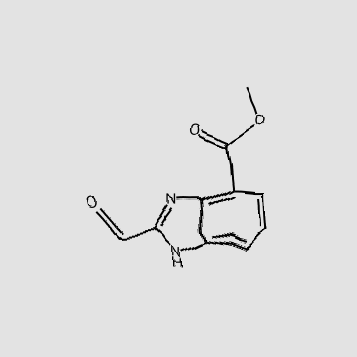 COC(=O)c1cccc2[nH]c(C=O)nc12